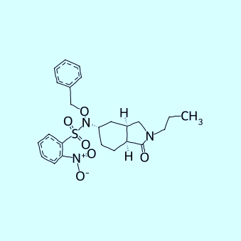 CCCN1C[C@@H]2C[C@@H](N(OCc3ccccc3)S(=O)(=O)c3ccccc3[N+](=O)[O-])CC[C@@H]2C1=O